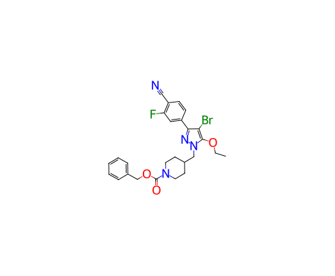 CCOc1c(Br)c(-c2ccc(C#N)c(F)c2)nn1CC1CCN(C(=O)OCc2ccccc2)CC1